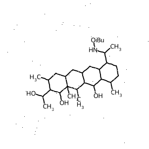 CC(C)CONC(C)C1CCC(C)C2C(O)C3C(CC12)CC1CC(C)C(C(C)O)C(O)C1(C)C3C